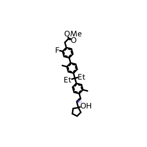 CCC(CC)(c1ccc(/C=C/C2(O)CCCC2)c(C)c1)c1ccc(-c2ccc(CC(=O)OC)c(F)c2)c(C)c1